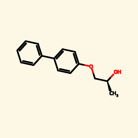 C[C@H](O)COc1ccc(-c2ccccc2)cc1